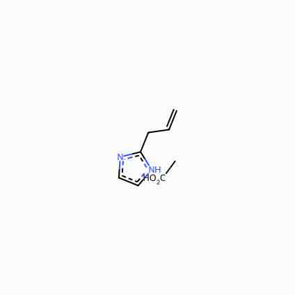 C=CCc1ncc[nH]1.CC(=O)O